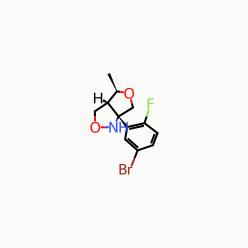 C[C@H]1OC[C@]2(c3cc(Br)ccc3F)NOC[C@H]12